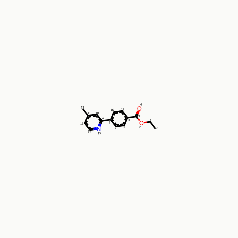 CCOC(=O)c1ccc(-c2cc(C)ccn2)cc1